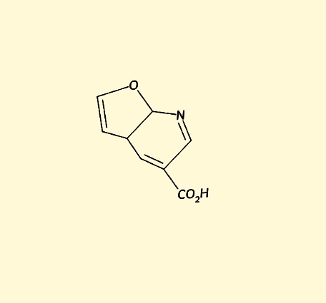 O=C(O)C1=CC2C=COC2N=C1